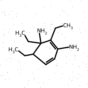 CCC1=C(N)C=CC(CC)C1(N)CC